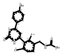 CC(C)(C)C(=O)NCc1ccc(Cl)c(-c2cc(-c3ccc(C(C)(C)C)cc3)nc(=O)[nH]2)c1F